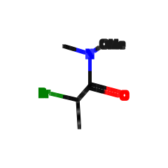 CON(C)C(=O)C(C)Br